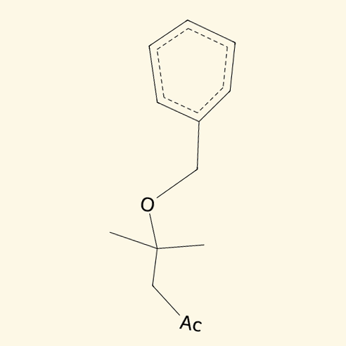 CC(=O)CC(C)(C)OCc1ccccc1